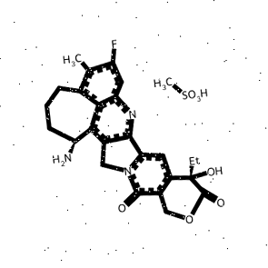 CC[C@@]1(O)C(=O)OCc2c1cc1n(c2=O)Cc2c-1nc1cc(F)c(C)c3c1c2[C@@H](N)CCC3.CS(=O)(=O)O